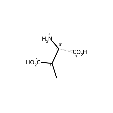 CC(C(=O)O)[C@H](N)C(=O)O